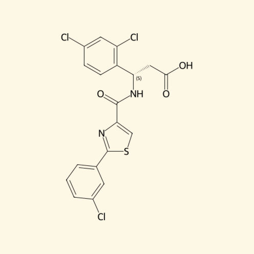 O=C(O)C[C@H](NC(=O)c1csc(-c2cccc(Cl)c2)n1)c1ccc(Cl)cc1Cl